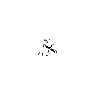 O=S(=O)([O-])[O-].[Ag+].[Ag+]